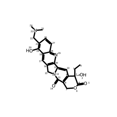 CC[C@@]1(O)C(=O)OCc2c1cc1n(c2=O)Cc2cc3c(O)c(CN(C)C)ccc3nc2-1